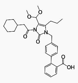 CCCc1c(C(OC)OC)n(C(=O)CC2CCCCC2)c(=O)n1Cc1ccc(-c2ccccc2C(=O)O)cc1